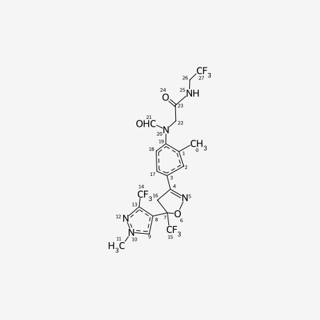 Cc1cc(C2=NOC(c3cn(C)nc3C(F)(F)F)(C(F)(F)F)C2)ccc1N(C=O)CC(=O)NCC(F)(F)F